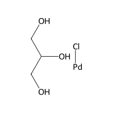 OCC(O)CO.[Cl][Pd]